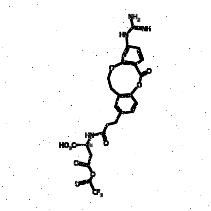 N=C(N)Nc1ccc2c(c1)OCCc1cc(CCC(=O)N[C@@H](CC(=O)OC(=O)C(F)(F)F)C(=O)O)ccc1OC2=O